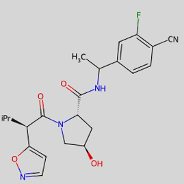 CC(NC(=O)[C@@H]1C[C@@H](O)CN1C(=O)[C@@H](c1ccno1)C(C)C)c1ccc(C#N)c(F)c1